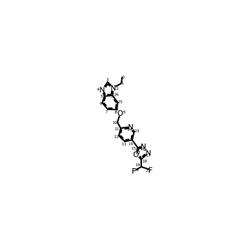 CCn1cnc2ccc(OCc3ccc(-c4nnc(C(F)F)o4)cn3)cc21